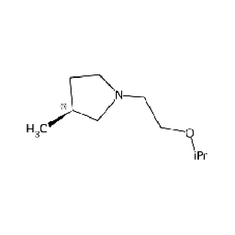 CC(C)OCCN1CC[C@H](C)C1